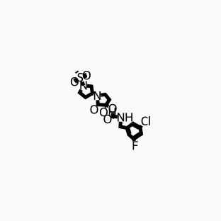 CS(=O)(=O)N1CCC(N2CC[C@@](O)(OC(=O)NCc3cc(F)cc(Cl)c3)C2=O)C1